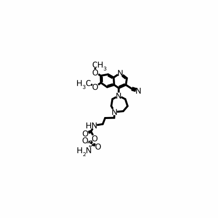 COc1cc2ncc(C#N)c(N3CCCN(CCCNC(=O)OS(N)(=O)=O)CC3)c2cc1OC